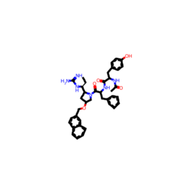 CC[C@H](NC(=N)N)C1CC(OCc2ccc3ccccc3c2)CN1C(=O)C(Cc1ccccc1)NC(=O)C(Cc1ccc(O)cc1)NC(C)=O